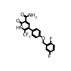 NC(=O)c1cc(-c2ccc(OCc3cc(F)ccc3F)cc2)c(C(F)(F)F)[nH]c1=O